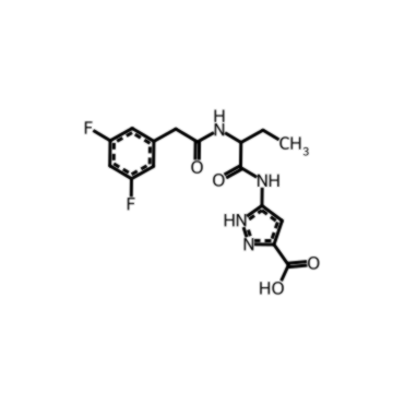 CCC(NC(=O)Cc1cc(F)cc(F)c1)C(=O)Nc1cc(C(=O)O)n[nH]1